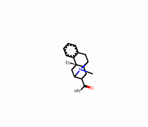 CCCC(=O)C1CC2C3Cc4ccccc4[C@@]2(CC)CC1N3C